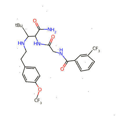 CC(C)(C)C(NCCc1ccc(OC(F)(F)F)cc1)C(NC(=O)CNC(=O)c1cccc(C(F)(F)F)c1)C(N)=O